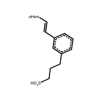 CCCCCCC=Cc1cccc(CCCS(=O)(=O)O)c1